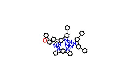 c1ccc(-c2ccc3c(c2)c2cc(-c4ccccc4)ccc2n3-c2nc(-n3c4ccc(-c5ccccc5)cc4c4cc(-c5ccccc5)ccc43)nc(-n3c4ccccc4c4cc5c6ccccc6n(-c6nccc(-c7ccc8oc9ccccc9c8c7)n6)c5cc43)n2)cc1